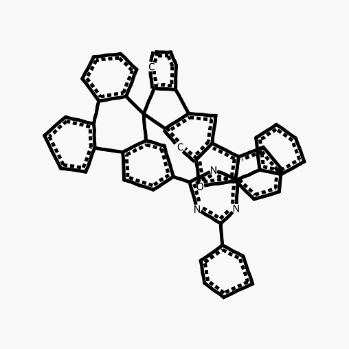 c1ccc(-c2nc(-c3ccccc3)nc(-c3ccc4c(c3)C3(c5ccccc5-c5ccccc5-4)c4ccccc4-c4cc5c(cc43)oc3ccccc35)n2)cc1